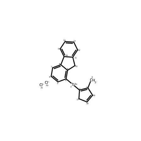 CC1=[C]([Ti+2][c]2cccc3c2Cc2ccccc2-3)CC=C1.[Cl-].[Cl-]